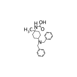 CC1(NC(=O)O)CCC(N(Cc2ccccc2)Cc2ccccc2)CC1